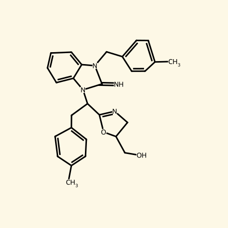 Cc1ccc(CC(C2=NCC(CO)O2)n2c(=N)n(Cc3ccc(C)cc3)c3ccccc32)cc1